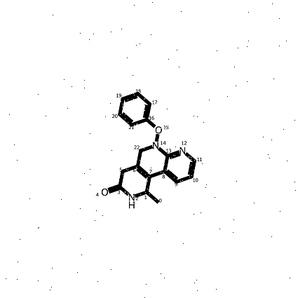 CC1NC(=O)CC2=C1c1cccnc1N(Oc1ccccc1)C2